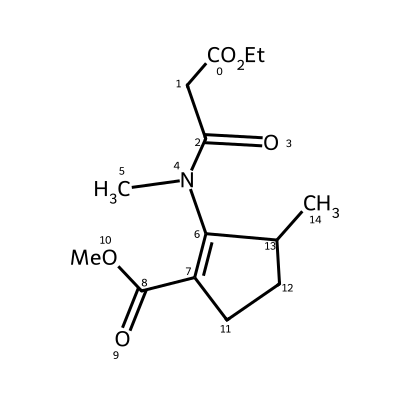 CCOC(=O)CC(=O)N(C)C1=C(C(=O)OC)CCC1C